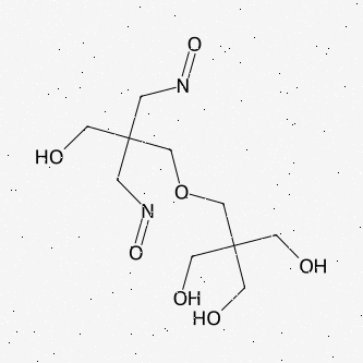 O=NCC(CO)(CN=O)COCC(CO)(CO)CO